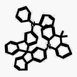 CC1(C)c2ccccc2N(c2ccc3c(c2)C2(c4ccccc4-c4cc(N(c5ccccc5)c5ccccc5)ccc42)c2ccccc2-3)c2ccccc21